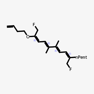 C=CCCO/C(=C/C=C(C)/C(C)=C/C=C(\CF)CCCCC)CF